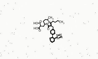 CCCCc1c(Cc2ccc(-c3ccccc3-c3nnn[nH]3)cc2)c(=O)n2n1C(C)CCC2CC(C(=O)O)C(=O)O